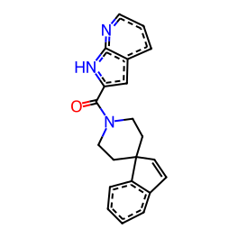 O=C(c1cc2cccnc2[nH]1)N1CCC2(C=Cc3ccccc32)CC1